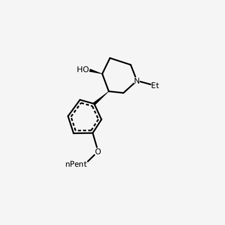 CCCCCOc1cccc([C@@H]2CN(CC)CC[C@@H]2O)c1